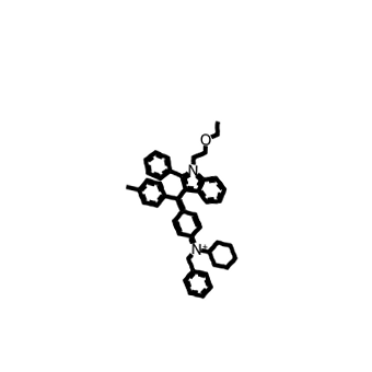 CCOCCn1c(-c2ccccc2)c(C(=C2C=CC(=[N+](Cc3ccccc3)C3CCCCC3)C=C2)c2ccc(C)cc2)c2ccccc21